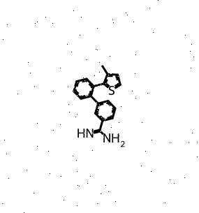 Cc1ccsc1-c1ccccc1-c1cccc(C(=N)N)c1